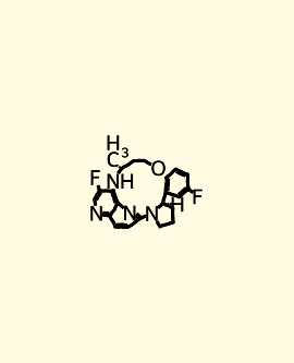 C[C@@H]1CCOc2ccc(F)cc2[C@H]2CCCN2c2ccc3ncc(F)c(c3n2)N1